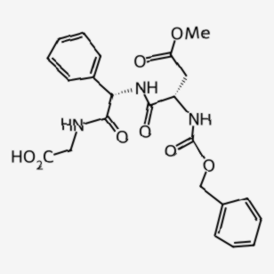 COC(=O)C[C@H](NC(=O)OCc1ccccc1)C(=O)N[C@H](C(=O)NCC(=O)O)c1ccccc1